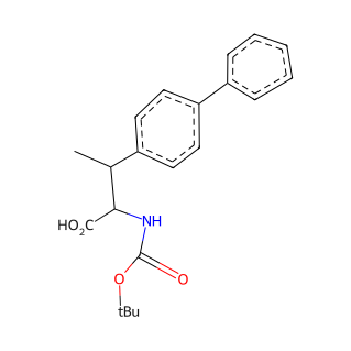 CC(c1ccc(-c2ccccc2)cc1)C(NC(=O)OC(C)(C)C)C(=O)O